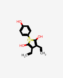 C=CC1=C(O)[SH](c2ccc(O)cc2)C(O)=C1C=C